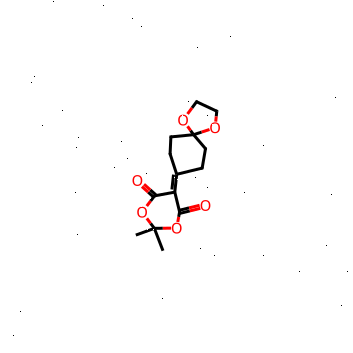 CC1(C)OC(=O)C(=C2CCC3(CC2)OCCO3)C(=O)O1